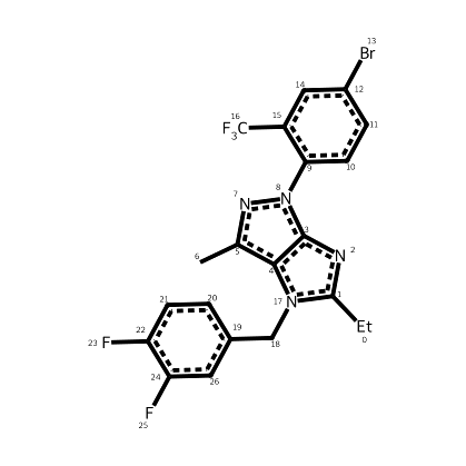 CCc1nc2c(c(C)nn2-c2ccc(Br)cc2C(F)(F)F)n1Cc1ccc(F)c(F)c1